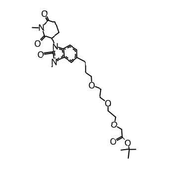 CN1C(=O)CCC(n2c(=O)n(C)c3cc(CCCOCCOCCOCC(=O)OC(C)(C)C)ccc32)C1=O